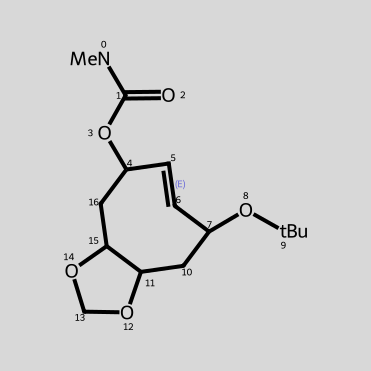 CNC(=O)OC1/C=C/C(OC(C)(C)C)CC2OCOC2C1